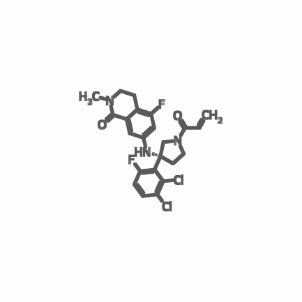 C=CC(=O)N1CC[C@@](Nc2cc(F)c3c(c2)C(=O)N(C)CC3)(c2c(F)ccc(Cl)c2Cl)C1